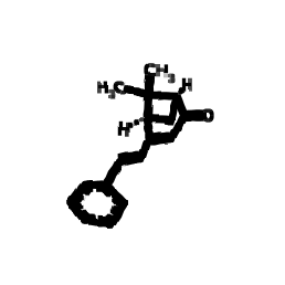 CC1(C)[C@@H]2C[C@H]1C(C=Cc1ccccc1)=CC2=O